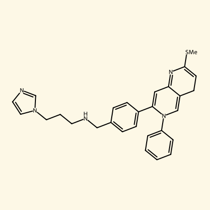 CSC1=CCC2=CN(c3ccccc3)C(c3ccc(CNCCCn4ccnc4)cc3)=CC2=N1